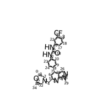 C[C@@H]1CN(Cc2cc(-c3ccc(NC(=O)Nc4cccc(C(F)(F)F)c4)cc3)c3cnn(C)c3n2)C[C@H](C)O1